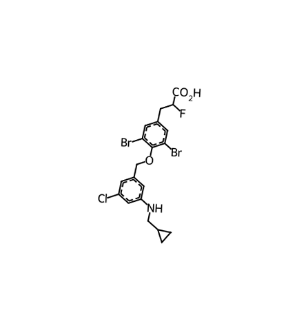 O=C(O)C(F)Cc1cc(Br)c(OCc2cc(Cl)cc(NCC3CC3)c2)c(Br)c1